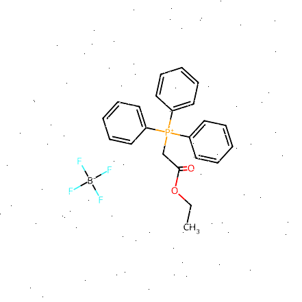 CCOC(=O)C[P+](c1ccccc1)(c1ccccc1)c1ccccc1.F[B-](F)(F)F